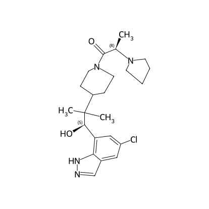 C[C@H](C(=O)N1CCC(C(C)(C)[C@H](O)c2cc(Cl)cc3cn[nH]c23)CC1)N1CCCC1